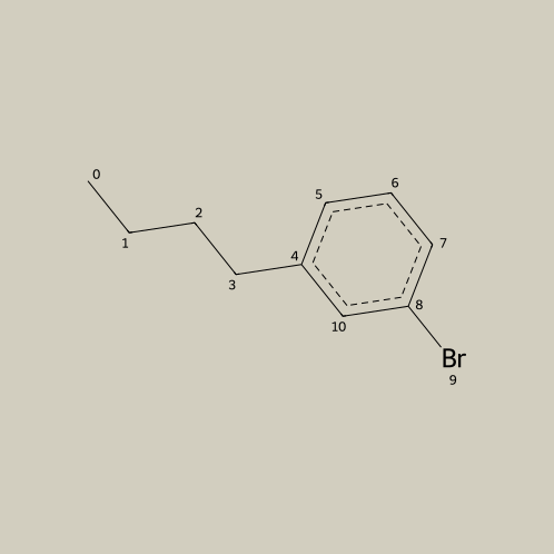 CCCCc1cccc(Br)c1